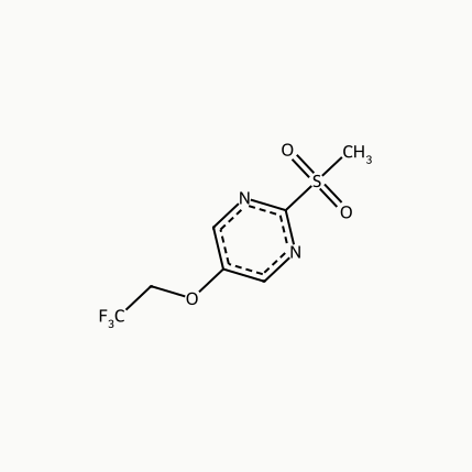 CS(=O)(=O)c1ncc(OCC(F)(F)F)cn1